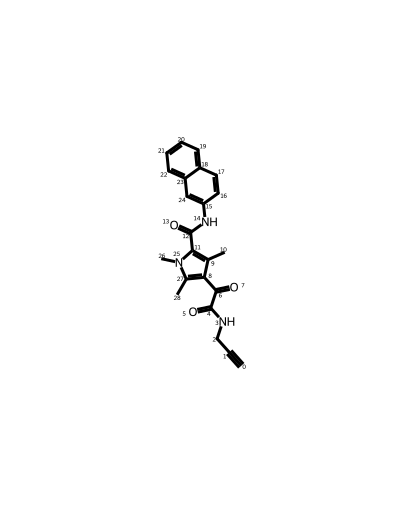 C#CCNC(=O)C(=O)c1c(C)c(C(=O)Nc2ccc3ccccc3c2)n(C)c1C